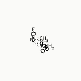 CCC1=Cc2c(cnn2-c2ccc(F)cc2)CC1(C)[C@@H](O)C#Cc1ccccc1S(N)(=O)=O